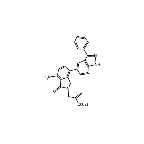 C=C(CN1Cc2c(-c3ccc4[nH]nc(-c5ccccc5)c4c3)ccc(N)c2C1=O)C(=O)OCC